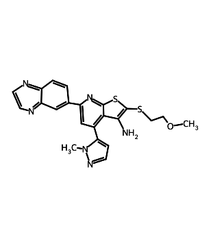 COCCSc1sc2nc(-c3ccc4nccnc4c3)cc(-c3ccnn3C)c2c1N